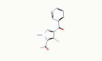 Cc1c(C(=O)c2ccccc2)cn(C)c1C(=O)O